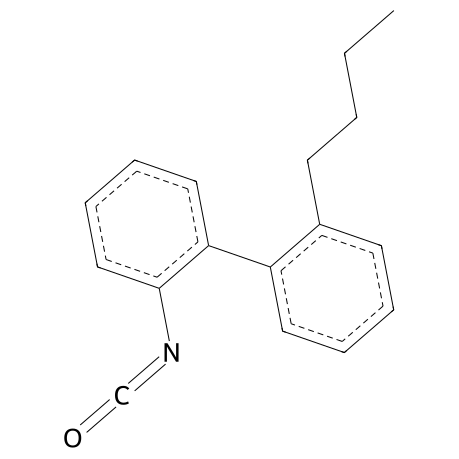 CCCCc1ccccc1-c1ccccc1N=C=O